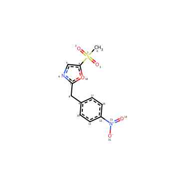 CS(=O)(=O)c1cnc(Cc2ccc([N+](=O)[O-])cc2)o1